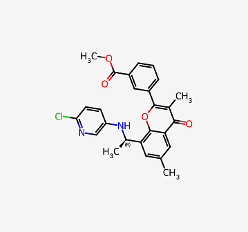 COC(=O)c1cccc(-c2oc3c([C@@H](C)Nc4ccc(Cl)nc4)cc(C)cc3c(=O)c2C)c1